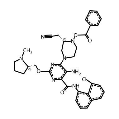 CN1CCC[C@H]1COc1nc(C(=O)Nc2cccc3cccc(Cl)c23)c(N)c(N2CCN(OC(=O)c3ccccc3)[C@@H](CC#N)C2)n1